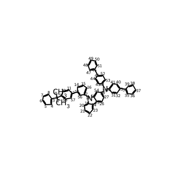 CC(C)(c1ccccc1)c1ccc(-c2cccc(-n3c4ccccc4c4ccc(N(c5ccc(-c6ccccc6)cc5)c5ccc(-c6ccccc6)cc5)cc43)c2)cc1